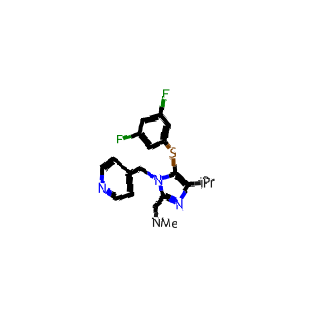 CNCc1nc(C(C)C)c(Sc2cc(F)cc(F)c2)n1Cc1ccncc1